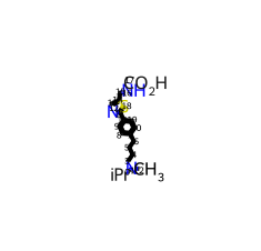 CC(C)N(C)CCCCc1ccc(-c2ncc(CNC(=O)O)s2)cc1